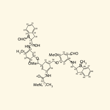 CN[C@@H](C)C(=O)Nc1cc(COc2cc(N[C@H](O)C3Cc4ccccc4N3C=O)c(C)cc2OC)cc(COc2cc(NCC3Cc4ccccc4N3C)c(C=O)cc2OC)c1